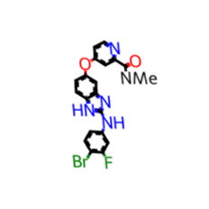 CNC(=O)c1cc(Oc2ccc3[nH]c(Nc4ccc(Br)c(F)c4)nc3c2)ccn1